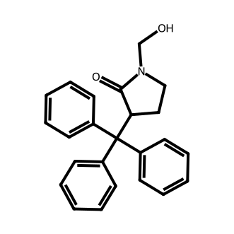 O=C1C(C(c2ccccc2)(c2ccccc2)c2ccccc2)CCN1CO